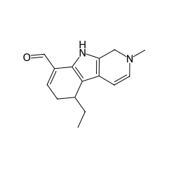 CCC1CC=C(C=O)c2[nH]c3c(c21)C=CN(C)C3